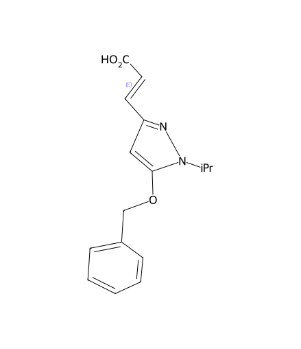 CC(C)n1nc(/C=C/C(=O)O)cc1OCc1ccccc1